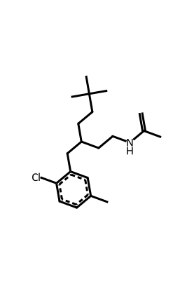 C=C(C)NCCC(CCC(C)(C)C)Cc1cc(C)ccc1Cl